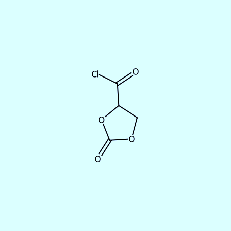 O=C1OCC(C(=O)Cl)O1